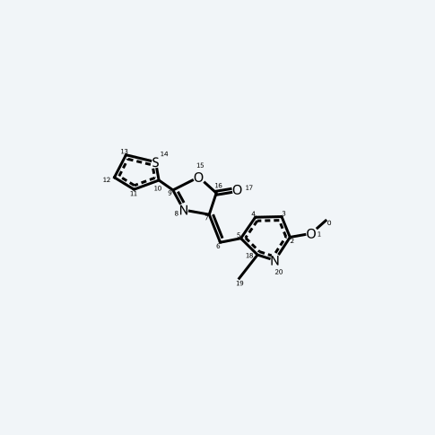 COc1ccc(C=C2N=C(c3cccs3)OC2=O)c(C)n1